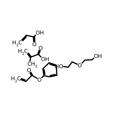 C=C(C)C(=O)O.C=CC(=O)O.C=CC(=O)Oc1ccccc1.OCCOCCO